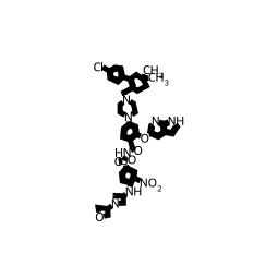 CC1(C)CCC(CN2CCN(c3ccc(C(=O)NS(=O)(=O)c4ccc(NC5CN(C6COC6)C5)c([N+](=O)[O-])c4)c(Oc4cnc5[nH]ccc5c4)c3)CC2)=C(c2ccc(Cl)cc2)C1